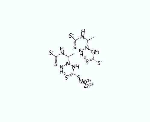 CC(NC(=S)[S-])N(N)NC(=S)[S-].CC(NC(=S)[S-])N(N)NC(=S)[S-].[Mn+2].[Zn+2]